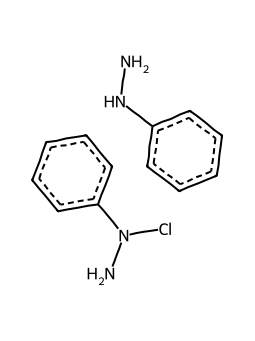 NN(Cl)c1ccccc1.NNc1ccccc1